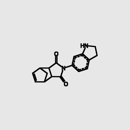 O=C1C2C3C=CC(C3)C2C(=O)N1c1ccc2c(c1)NCC2